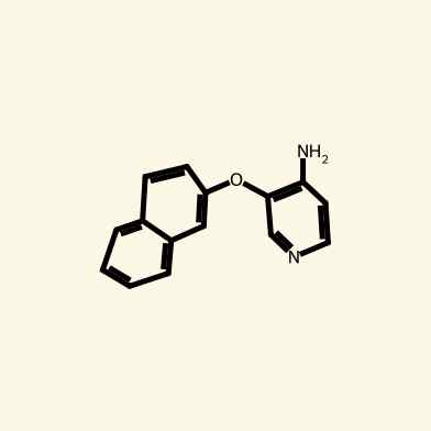 Nc1ccncc1Oc1ccc2ccccc2c1